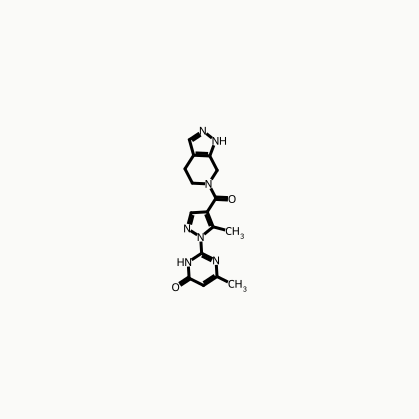 Cc1cc(=O)[nH]c(-n2ncc(C(=O)N3CCc4cn[nH]c4C3)c2C)n1